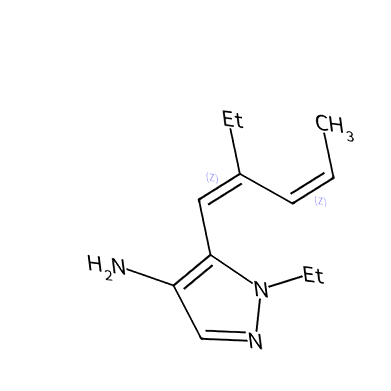 C/C=C\C(=C/c1c(N)cnn1CC)CC